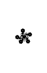 O=C(OC[C@@H](OC(=O)c1ccccc1)[C@@H]1O[C@H](OC(=O)c2ccccc2)[C@@H](OC(=O)c2ccccc2)[C@H]1OC(=O)c1ccccc1)c1ccccc1